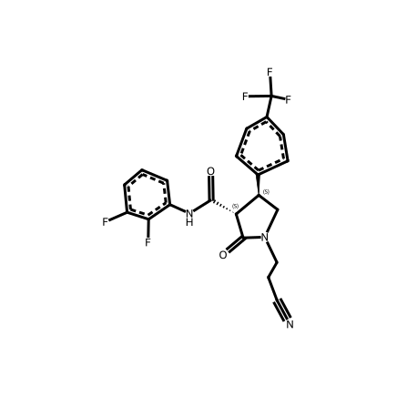 N#CCCN1C[C@H](c2ccc(C(F)(F)F)cc2)[C@@H](C(=O)Nc2cccc(F)c2F)C1=O